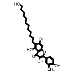 Cc1cc(-c2oc3cc(O)c(CCCCCCCCCCCCO)c(O)c3c(=O)c2O)ccc1O